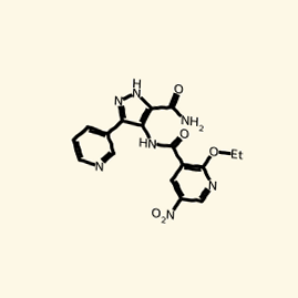 CCOc1ncc([N+](=O)[O-])cc1C(=O)Nc1c(-c2cccnc2)n[nH]c1C(N)=O